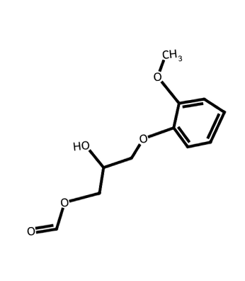 COc1ccccc1OCC(O)COC=O